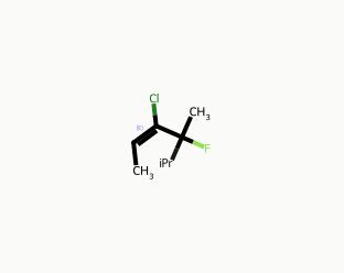 C/C=C(/Cl)C(C)(F)C(C)C